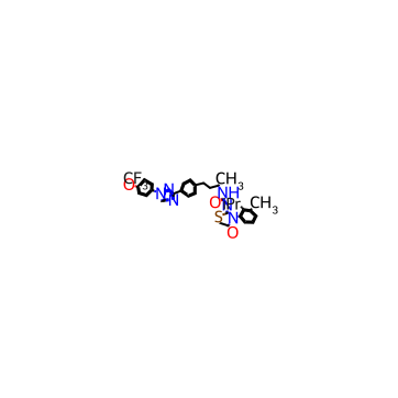 Cc1cccc(N2C(=O)CS/C2=N\C(=O)NC(C)CCc2ccc(-c3ncn(-c4ccc(OC(F)(F)F)cc4)n3)cc2)c1C(C)C